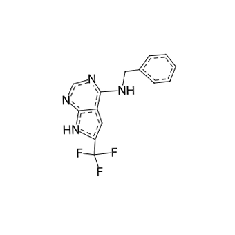 FC(F)(F)c1cc2c(NCc3ccccc3)ncnc2[nH]1